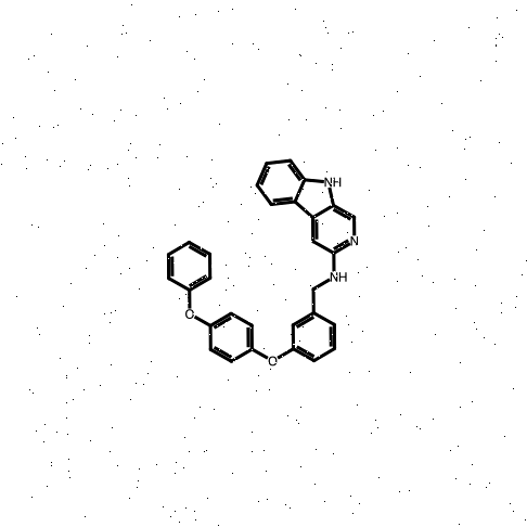 c1ccc(Oc2ccc(Oc3cccc(CNc4cc5c(cn4)[nH]c4ccccc45)c3)cc2)cc1